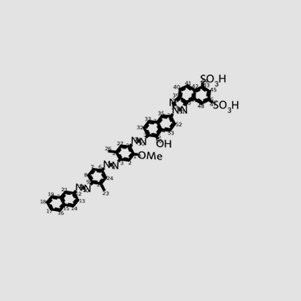 COc1cc(N=Nc2ccc(N=Nc3ccc4ccccc4c3)c(C)c2)c(C)cc1N=Nc1ccc2cc(-n3nc4ccc5c(S(=O)(=O)O)cc(S(=O)(=O)O)cc5c4n3)ccc2c1O